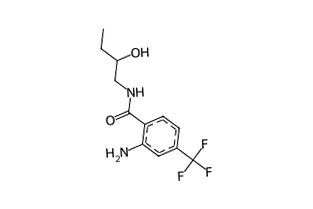 CCC(O)CNC(=O)c1ccc(C(F)(F)F)cc1N